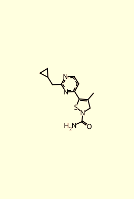 CC1=C(c2ccnc(CC3CC3)n2)SN(C(N)=O)C1